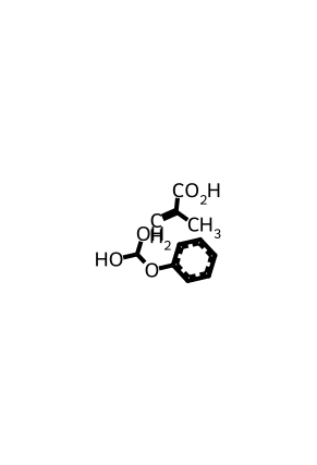 C=C(C)C(=O)O.OC(O)Oc1ccccc1